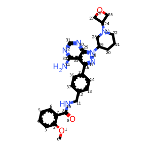 COc1ccccc1C(=O)NCc1ccc(-c2nn(C3CCCN(C4COC4)C3)c3ncnc(N)c23)cc1